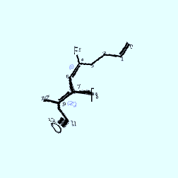 C=CCC/C(F)=C\C(F)=C(/C)C=O